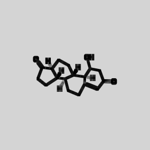 O=C1C=C2CC[C@H]3[C@@H]4CCC(=O)[C@H]4CC[C@@H]3[C@H]2C(O)C1